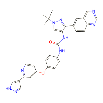 CC(C)(C)n1cc(NC(=O)Nc2ccc(Oc3ccnc(-c4cn[nH]c4)c3)cc2)c(-c2ccc3ncncc3c2)n1